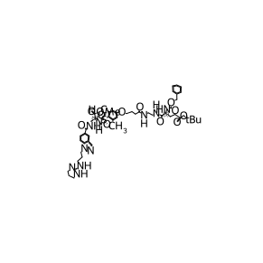 COC(=O)[C@H](CNC(=O)c1ccc2c(cnn2CCCNC2=NCCCN2)c1)NS(=O)(=O)c1c(C)cc(OCCCC(=O)NCCNC(=O)[C@H](CCC(=O)OC(C)(C)C)NC(=O)OCc2ccccc2)cc1C